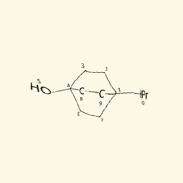 CC(C)C12CCC(O)(CC1)CC2